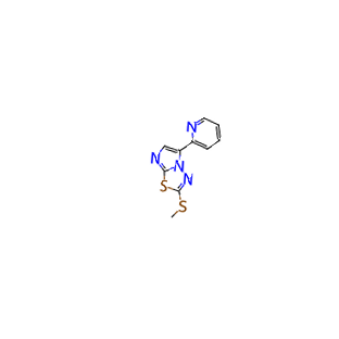 CSc1nn2c(-c3ccccn3)cnc2s1